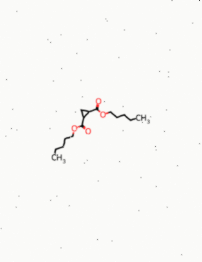 CCCCCOC(=O)C1CC1C(=O)OCCCCC